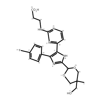 CC1(CO)COC(c2nc(-c3ccc(F)cc3)c(-c3ccnc(NCCC(=O)O)n3)[nH]2)OC1